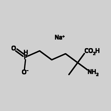 CC(N)(CCC[PH](=O)[O-])C(=O)O.[Na+]